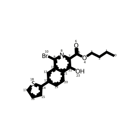 CCCCOC(=O)c1nc(Br)c2cc(-c3cccs3)ccc2c1O